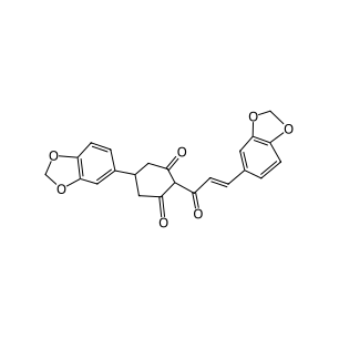 O=C(C=Cc1ccc2c(c1)OCO2)C1C(=O)CC(c2ccc3c(c2)OCO3)CC1=O